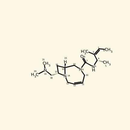 C/C=C(/C)[C@H](C)NC(=O)N1C/C=C\CN2[C@H](C[C@H]2CN(C)C)C1